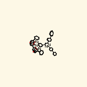 c1ccc(-c2ccc(-c3cc(-c4cc(-n5c6ccccc6c6ccccc65)c(-n5c6ccccc6c6ccccc65)c(-n5c6ccccc6c6ccccc65)c4)nc(-c4ccc(-c5ccccc5)cc4)n3)cc2)cc1